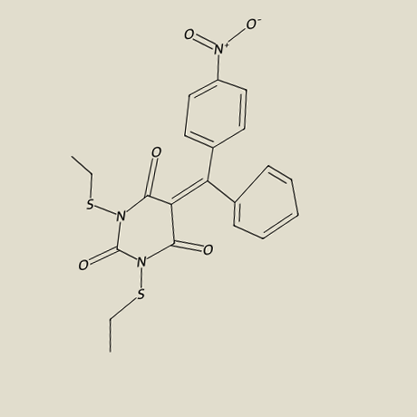 CCSN1C(=O)C(=C(c2ccccc2)c2ccc([N+](=O)[O-])cc2)C(=O)N(SCC)C1=O